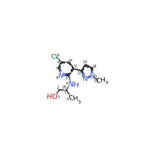 C[C@@H](CO)Nc1ncc(Cl)cc1-c1ccn(C)n1